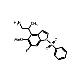 COc1c(F)cc2c(ccn2S(=O)(=O)c2ccccc2)c1C(C)CN